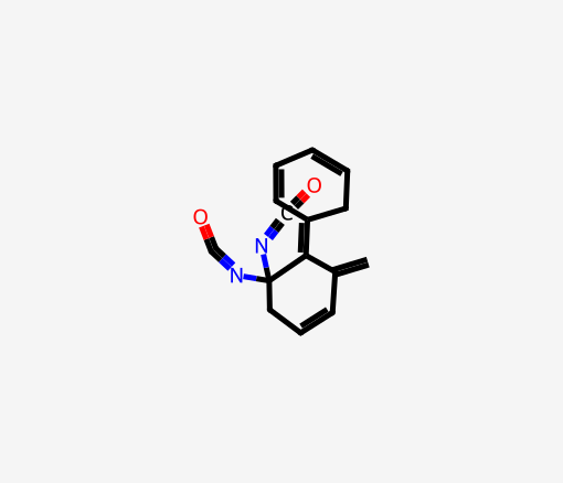 C=C1C=CCC(N=C=O)(N=C=O)C1=C1C=CC=CC1